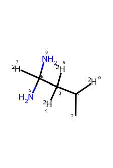 [2H]C(C)C([2H])([2H])C([2H])(N)N